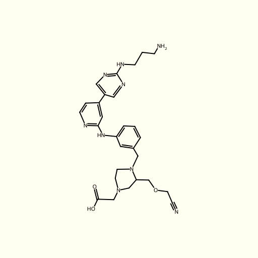 N#CCOCC1CN(CC(=O)O)CCN1Cc1cccc(Nc2cc(-c3cnc(NCCCN)nc3)ccn2)c1